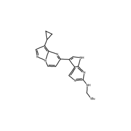 CC(C)(C)CNc1ncc2c(-c3ccn4ncc(C5CC5)c4n3)c[nH]c2n1